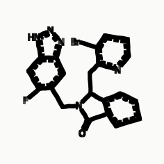 O=C1c2ccccc2C(Cc2ncccc2Br)N1Cc1cc2nn[nH]c2cc1F